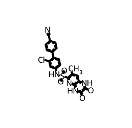 Cc1cc2[nH]c(=O)c(=O)[nH]c2nc1S(=O)(=O)Nc1ccc(-c2ccc(C#N)cc2)c(Cl)c1